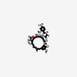 CNc1ccc(C(=O)N(C)[C@@H](C)C(=O)O[C@H]2CC(=O)N(C)c3cc(cc(OC)c3Cl)C/C(C)=C/C=C/[C@@H](OC)[C@@]3(O)C[C@H](OC(=O)N3)[C@@H](C)[C@@H]3O[C@@]23C)c(OC)c1